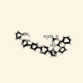 C=C([C@H](NC(=O)OC)c1ccccc1)N1CCC[C@H]1c1ncc(-c2cnc(-c3ccc(-c4cnc([C@@H]5CCCN5C)[nH]4)cc3)nc2)[nH]1